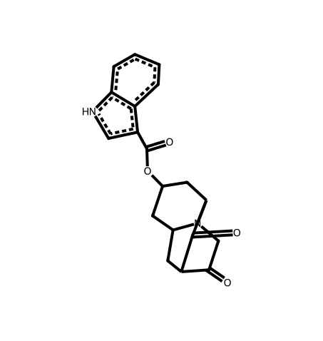 O=C(OC1CC2CC3C(=O)CN2C(C1)C3=O)c1c[nH]c2ccccc12